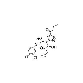 CCCC(=O)c1cn([C@@H]2[C@@H](O)[C@@H](Sc3ccc(Cl)c(Cl)c3)O[C@H](CO)[C@@H]2O)nn1